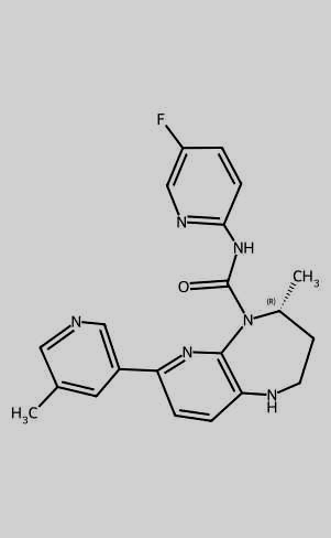 Cc1cncc(-c2ccc3c(n2)N(C(=O)Nc2ccc(F)cn2)[C@H](C)CCN3)c1